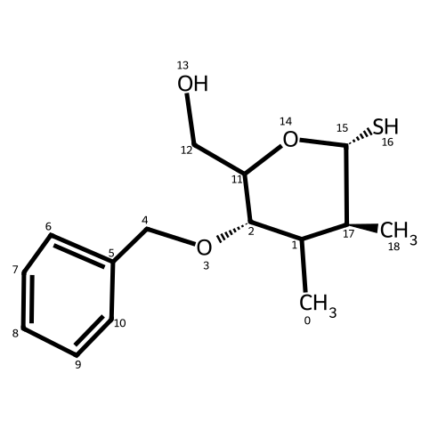 CC1[C@H](OCc2ccccc2)C(CO)O[C@H](S)[C@H]1C